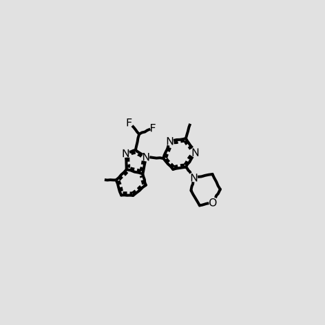 Cc1nc(N2CCOCC2)cc(-n2c(C(F)F)nc3c(C)cccc32)n1